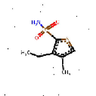 CCc1c(C)csc1S(N)(=O)=O